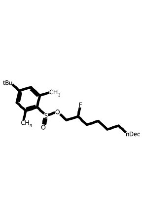 CCCCCCCCCCCCCCC(F)COS(=O)c1c(C)cc(C(C)(C)C)cc1C